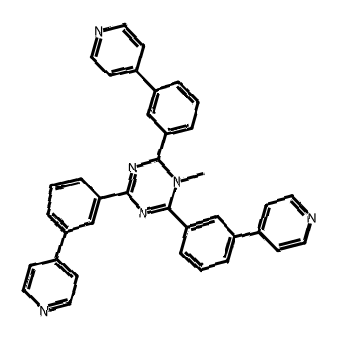 CN1C(c2cccc(-c3ccncc3)c2)=NC(c2cccc(-c3ccncc3)c2)=NC1c1cccc(-c2ccncc2)c1